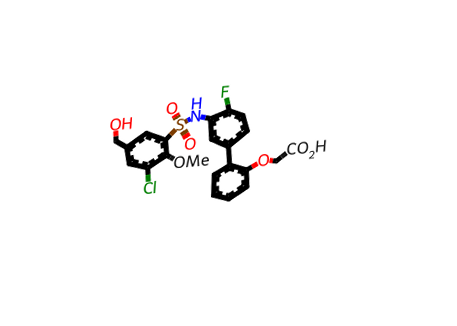 COc1c(Cl)cc(CO)cc1S(=O)(=O)Nc1cc(-c2ccccc2OCC(=O)O)ccc1F